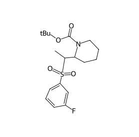 CC(C1CCCCN1C(=O)OC(C)(C)C)S(=O)(=O)c1cccc(F)c1